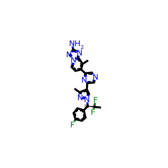 Cc1nn([C@H](c2ccc(F)cc2)C(C)(F)F)cc1-c1cncc(-c2ccn3nc(N)nc3c2C)n1